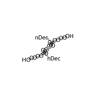 CCCCCCCCCCCCCCCc1cc(OCCOCCOCCOCCO)ccc1N1C(=O)c2ccc3c4ccc5c6c(ccc(c7ccc(c2c37)C1=O)c64)C(=O)N(c1ccc(OCCOCCOCCOCCO)cc1CCCCCCCCCCCCCCC)C5=O